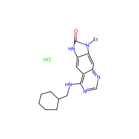 CCn1c(=O)[nH]c2cc3c(NCC4CCCCC4)ncnc3cc21.Cl